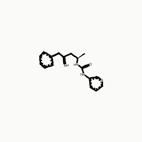 C[C@H](CC(=N)Cc1ccccc1)NC(=O)Nc1cccnc1